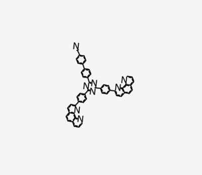 N#Cc1ccc(-c2ccc(-c3nc(-c4ccc(-c5ccc6ccc7cccnc7c6n5)cc4)nc(-c4ccc(-c5ccc6ccc7cccnc7c6n5)cc4)n3)cc2)cc1